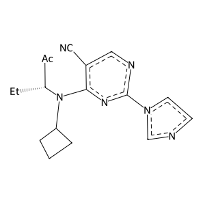 CC[C@H](C(C)=O)N(c1nc(-n2ccnc2)ncc1C#N)C1CCC1